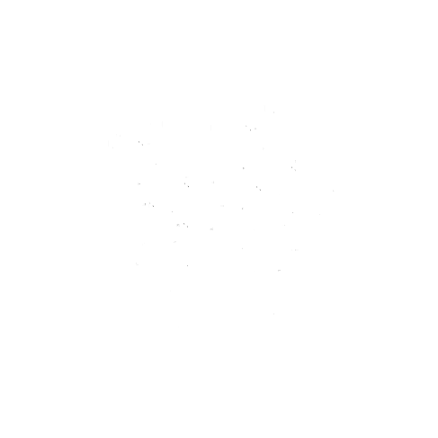 COc1ccc(CN(CCN(C)C)c2ccccn2)cc1.COc1ccc(CN(CCN(C)C)c2ncccn2)cc1